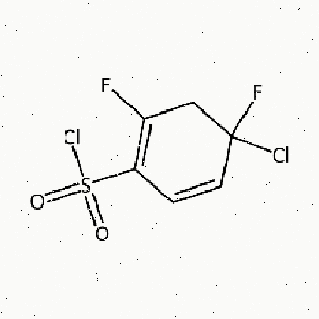 O=S(=O)(Cl)C1=C(F)CC(F)(Cl)C=C1